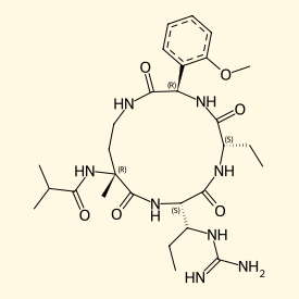 CCC(NC(=N)N)[C@@H]1NC(=O)[C@](C)(NC(=O)C(C)C)CCNC(=O)[C@@H](c2ccccc2OC)NC(=O)[C@H](CC)NC1=O